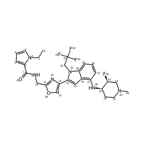 CCn1cccc1C(=O)NCc1nc(-c2cc3c(N[C@@H]4CCN(C)C[C@@H]4F)cccc3n2CC(F)(F)F)no1